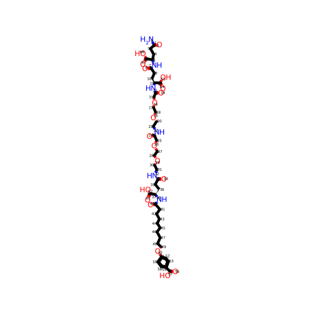 NC(=O)CCC(NC(=O)CC[C@H](NC(=O)COCCOCCNC(=O)COCCOCCNC(=O)CC[C@H](NC(=O)CCCCCCCCCOc1ccc(C(=O)O)cc1)C(=O)O)C(=O)O)C(=O)O